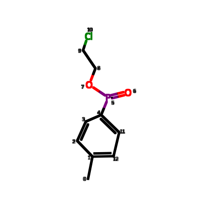 Cc1ccc([P](=O)OCCCl)cc1